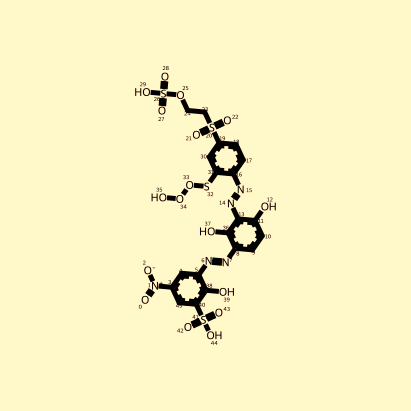 O=[N+]([O-])c1cc(/N=N/c2ccc(O)c(/N=N/c3ccc(S(=O)(=O)CCOS(=O)(=O)O)cc3SOOO)c2O)c(O)c(S(=O)(=O)O)c1